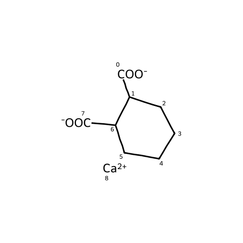 O=C([O-])C1CCCCC1C(=O)[O-].[Ca+2]